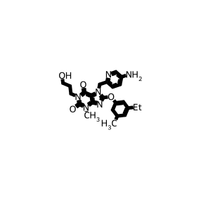 CCC1=CC(C)CC(Oc2nc3c(c(=O)n(CCCO)c(=O)n3C)n2Cc2ccc(N)cn2)=C1